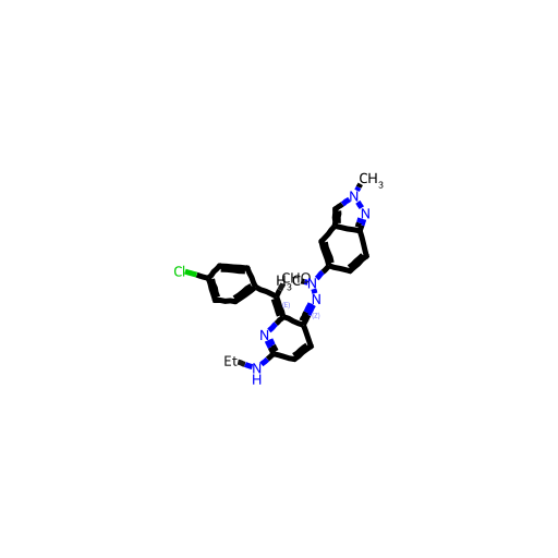 CCNC1=NC(=C(/C=O)c2ccc(Cl)cc2)/C(=N\N(C)c2ccc3nn(C)cc3c2)C=C1